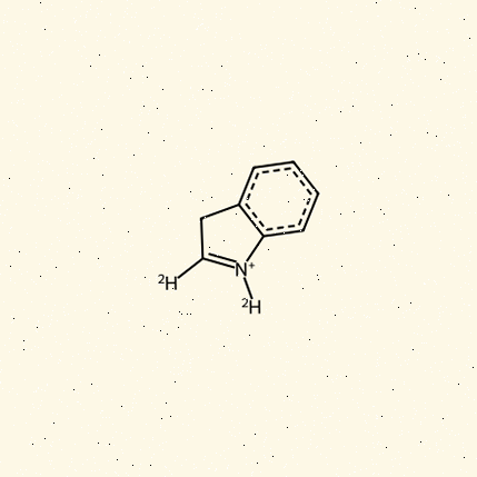 [2H]C1=[N+]([2H])c2ccccc2C1